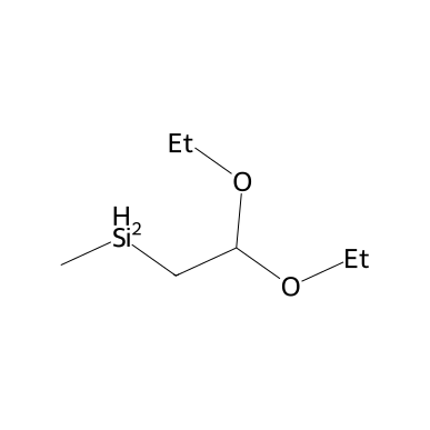 CCOC(C[SiH2]C)OCC